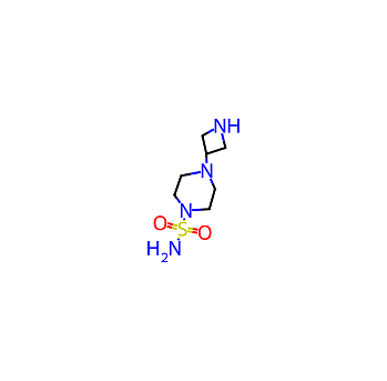 NS(=O)(=O)N1CCN(C2CNC2)CC1